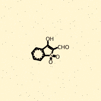 O=CC1=C(O)c2ccccc2S1(=O)=O